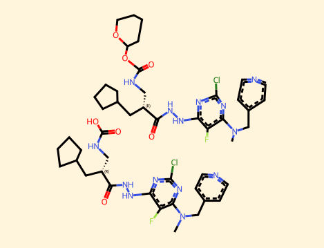 CN(Cc1ccncc1)c1nc(Cl)nc(NNC(=O)[C@@H](CNC(=O)O)CC2CCCC2)c1F.CN(Cc1ccncc1)c1nc(Cl)nc(NNC(=O)[C@@H](CNC(=O)OC2CCCCO2)CC2CCCC2)c1F